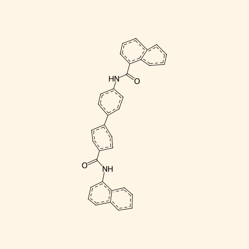 O=C(Nc1cccc2ccccc12)c1ccc(-c2ccc(NC(=O)c3cccc4ccccc34)cc2)cc1